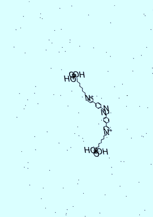 O=P(O)(O)CCCCCCCC[n+]1ccc(-c2ccc(-c3ccnc(-c4ccc(-c5cc[n+](CCCCCCCCP(=O)(O)O)cc5)cc4)n3)cc2)cc1